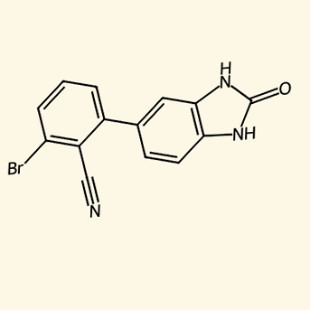 N#Cc1c(Br)cccc1-c1ccc2[nH]c(=O)[nH]c2c1